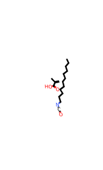 C=C(C)C(=O)O.CCCCCCCCCCCCN=C=O